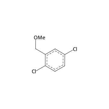 COCc1cc(Cl)ccc1Cl